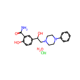 Cl.NC(=O)c1cc(C(O)CN2CCN(c3ccccc3)CC2)ccc1O.O